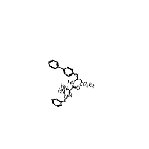 CCOC(=O)C[C@@H](Cc1ccc(-c2ccccc2)cc1)NC(=O)C1=NN(Cc2ccccc2)NN1